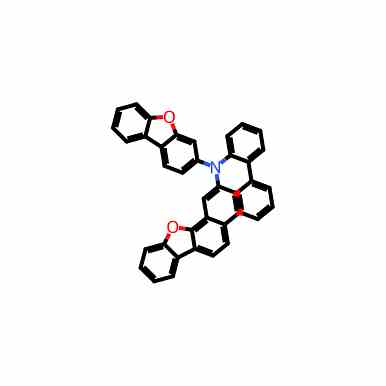 c1ccc(-c2ccccc2N(c2ccc3c(c2)oc2ccccc23)c2ccc3ccc4c5ccccc5oc4c3c2)cc1